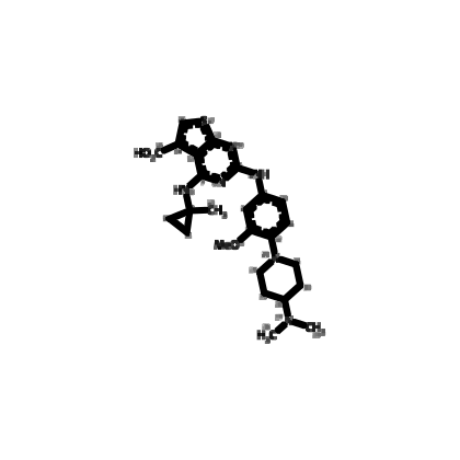 COc1cc(Nc2nc(NC3(C)CC3)c3c(C(=O)O)csc3n2)ccc1N1CCC(N(C)C)CC1